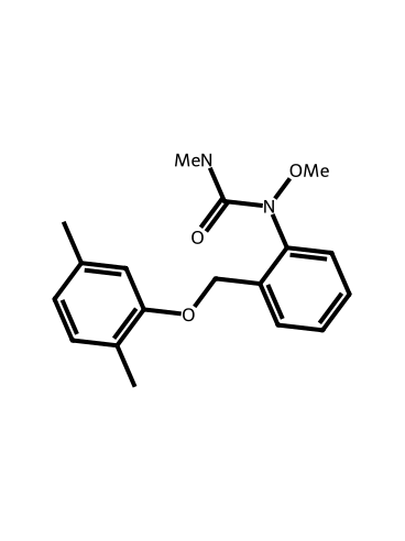 CNC(=O)N(OC)c1ccccc1COc1cc(C)ccc1C